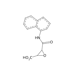 O=C(O)C1OC1C(=O)Nc1cccc2ccccc12